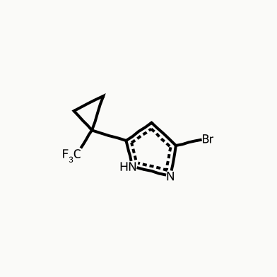 FC(F)(F)C1(c2cc(Br)n[nH]2)CC1